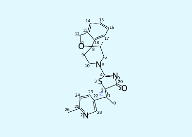 C/C(=C1/SC(N2CCC3(CC2)OCc2ccccc23)=NC1=O)c1ccc(C)nc1